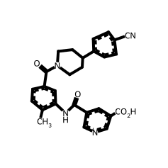 Cc1ccc(C(=O)N2CCC(c3ccc(C#N)cc3)CC2)cc1NC(=O)c1cncc(C(=O)O)c1